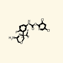 NC1=N[C@@](c2cc(NC(=O)Oc3ncc(Cl)cc3Cl)ccc2F)(C(F)F)COC1